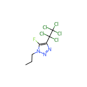 CCCn1nnc(C(Cl)(Cl)C(Cl)(Cl)Cl)c1F